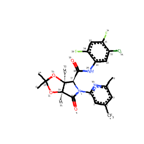 Cc1cc(C(F)(F)F)cc(N2C(=O)[C@H]3OC(C)(C)O[C@H]3[C@H]2C(=O)Nc2cc(Cl)c(F)cc2F)n1